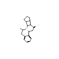 CC1Cc2ccccc2C2CC(=O)C3C4CCCC4C3N12